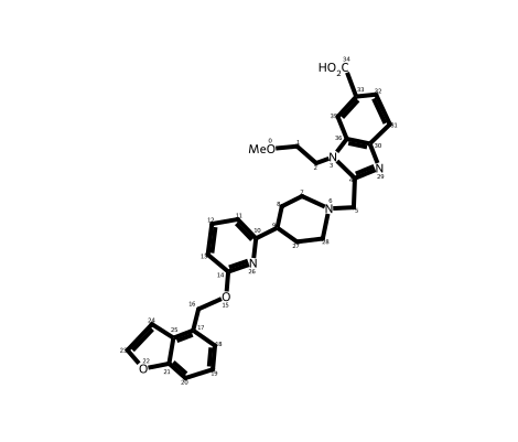 COCCn1c(CN2CCC(c3cccc(OCc4cccc5occc45)n3)CC2)nc2ccc(C(=O)O)cc21